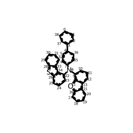 c1ccc(-c2ccc(N(c3cccc4c3oc3ccccc34)c3cccc4sc5ccccc5c34)cc2)cc1